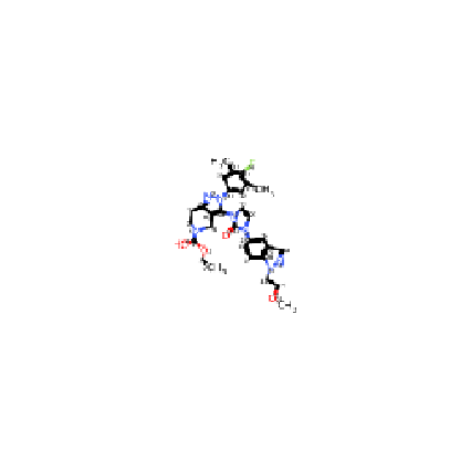 CCOC(O)N1CCc2nn(-c3cc(C)c(F)c(C)c3)c(-n3ccn(-c4ccc5c(cnn5CCOC)c4)c3=O)c2C1